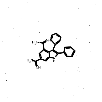 N=C(N)c1cc(C(=N)N)c2c(-c3ccccc3)c(-c3ccccc3)[nH]c2c1